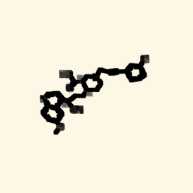 COc1ccc2nccc([C@H](O)CC[C@@H]3CCN(CC#Cc4cccc(Cl)c4)C[C@@H]3C(=O)O)c2c1